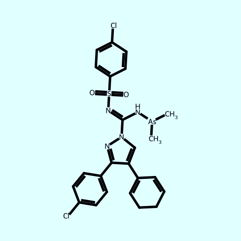 C[As](C)NC(=NS(=O)(=O)c1ccc(Cl)cc1)n1cc(C2=CCCC=C2)c(-c2ccc(Cl)cc2)n1